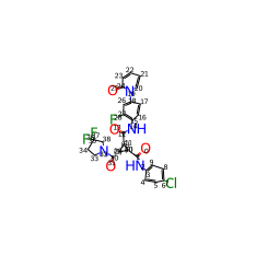 O=C(Nc1ccc(Cl)cc1)[C@@H]1[C@H](C(=O)Nc2ccc(-n3ccccc3=O)cc2F)[C@H]1C(=O)N1CCC(F)(F)C1